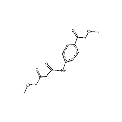 COCC(=O)CC(=O)Nc1ccc(C(=O)COC)cc1